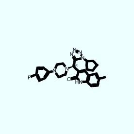 Cc1ccc2[nH]c(=O)c([C@H](c3nnnn3C3CCCC3)N3CCN(c4ccc(F)cc4)CC3)cc2c1